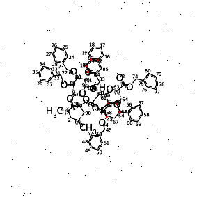 C[C@@H]1C[C@H](C)[C@@H](O[C@@H]2O[C@@H](C)[C@@H](OCc3ccccc3)[C@@H](OCc3ccccc3)[C@@H]2OCc2ccccc2)[C@H](O[C@@H]2O[C@H](COCc3ccccc3)[C@H](OCc3ccccc3)[C@H](O[C@@H](CC3CCCCC3)C(=O)OCc3ccccc3)[C@H]2OCc2ccccc2)C1